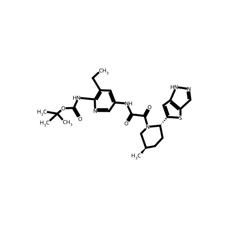 CCc1cc(NC(=O)C(=O)N2C[C@H](C)CC[C@H]2c2cc3[nH]ncc3s2)cnc1NC(=O)OC(C)(C)C